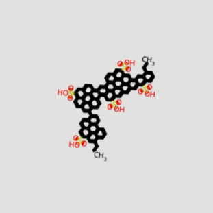 CCCc1cccc2c(S(=O)(=O)O)c3cc4cc5cc6c7c8c(c9c%10c%11c%12c(c9cc8c8ccc9c%13c%14c(cc(c3cc12)c4c%14c5c7c8%13)C(S(=O)(=O)O)C=9)CC=C1CC(S(=O)(=O)O)=c2ccc3cc(C4=CCC5=C7C4=CC=C4C=C(S(=O)(=O)O)c8cc(CCC)c9cccc5c9c8C47)c(c%11c3c2c%121)CC=%10)CC=6S(=O)(=O)O